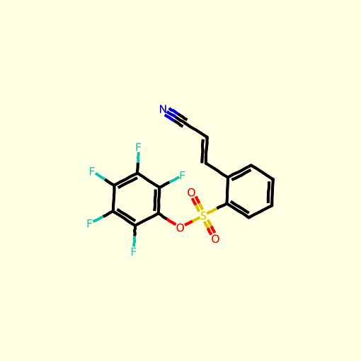 N#CC=Cc1ccccc1S(=O)(=O)Oc1c(F)c(F)c(F)c(F)c1F